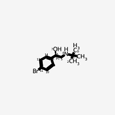 CC(C)(C)NC[C@H](O)c1ccc(Br)cc1